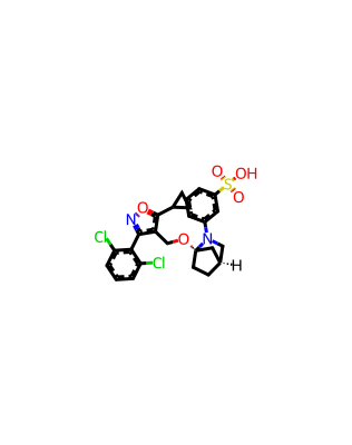 O=S(=O)(O)c1cccc(N2C[C@H]3CC[C@]2(OCc2c(-c4c(Cl)cccc4Cl)noc2C2CC2)C3)c1